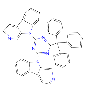 c1ccc(C(c2ccccc2)(c2ccccc2)c2nc(-n3c4ccccc4c4ccncc43)nc(-n3c4ccccc4c4ccncc43)n2)cc1